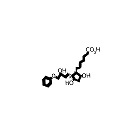 O=C(O)CCCC=CC[C@@H]1[C@@H](C=CC(O)COc2ccccc2)[C@H](O)C[C@@H]1O